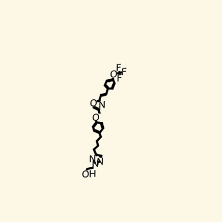 OCCn1ncc(CCCCc2ccc(OCc3coc(C=Cc4ccc(OC(F)(F)F)cc4)n3)cc2)n1